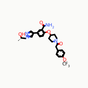 C[C@H](O)Cn1cc(-c2ccc(OC3CCN(C(=O)Cc4ccc(OC(F)(F)F)cc4)CC3)c(C(N)=O)c2)cn1